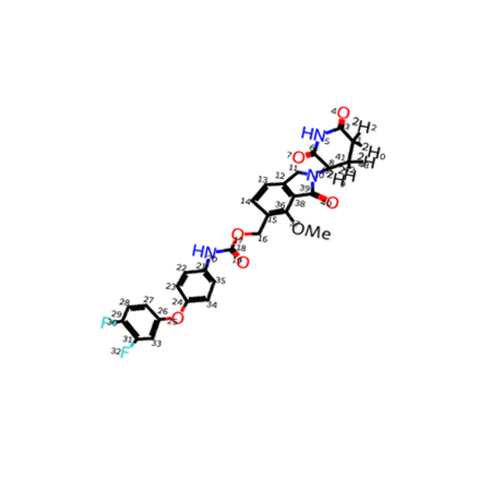 [2H]C1([2H])C(=O)NC(=O)[C@@]([2H])(N2Cc3ccc(COC(=O)Nc4ccc(Oc5ccc(F)c(F)c5)cc4)c(OC)c3C2=O)C1([2H])[2H]